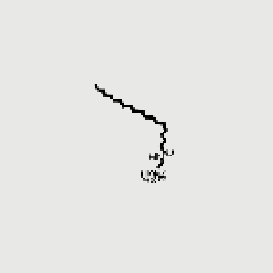 CCC=CCC=CCC=CCC=CC/C=C\CCCC(=O)NCCOP(=O)(O)O